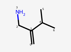 C=C(CN)C(C)C